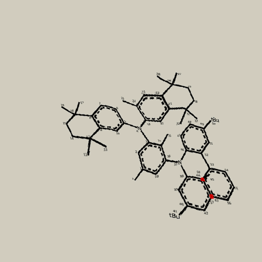 Cc1cc(N(c2ccc3c(c2)C(C)(C)CCC3(C)C)c2cc3c(cc2C)C(C)(C)CCC3(C)C)c(C)c(N(c2cc(C(C)(C)C)ccc2C)c2ccc(C(C)(C)C)cc2-c2ccccc2)c1